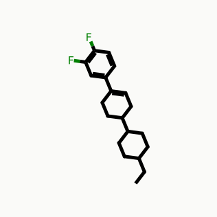 CCC1CCC(C2CC=C(c3ccc(F)c(F)c3)CC2)CC1